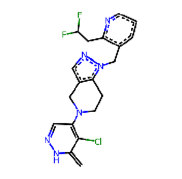 C=C1NN=CC(N2CCc3c(cnn3Cc3cccnc3CC(F)F)C2)=C1Cl